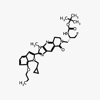 CCCOc1cccc2cc(-c3nc4cc5c(nc4n3C)CCN(C[C@@H](CF)NC(=O)OC(C)(C)C)C5=O)n(CC3CC3)c12